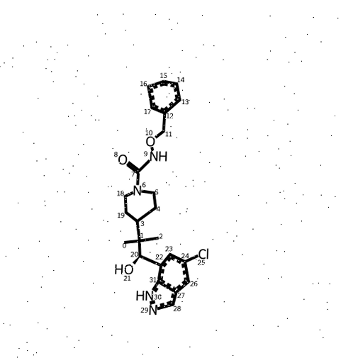 CC(C)(C1CCN(C(=O)NOCc2ccccc2)CC1)[C@H](O)c1cc(Cl)cc2cn[nH]c12